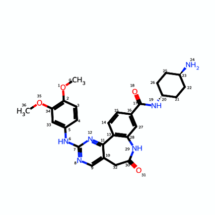 COc1ccc(Nc2ncc3c(n2)-c2ccc(C(=O)N[C@H]4CC[C@H](N)CC4)cc2NC(=O)C3)cc1OC